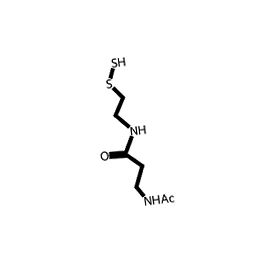 CC(=O)NCCC(=O)NCCSS